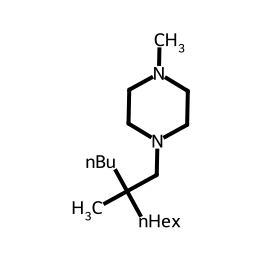 CCCCCCC(C)(CCCC)CN1CCN(C)CC1